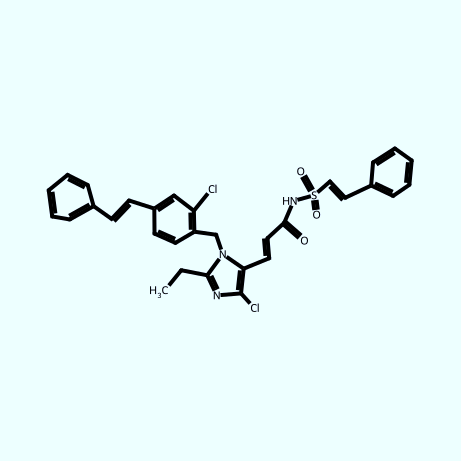 CCc1nc(Cl)c(/C=C/C(=O)NS(=O)(=O)/C=C/c2ccccc2)n1Cc1ccc(/C=C/c2ccccc2)cc1Cl